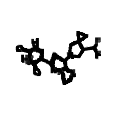 O=c1[nH]cc(-c2cc(N3CC(C(F)F)C4(CC4)C3)c3nccn3n2)c(=O)[nH]1